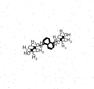 CC(C)(O)C(C)(C)OBc1cccc2c(BOC(C)(C)C(C)(C)O)cccc12